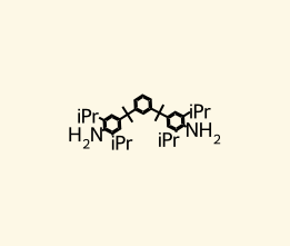 CC(C)c1cc(C(C)(C)c2cccc(C(C)(C)c3cc(C(C)C)c(N)c(C(C)C)c3)c2)cc(C(C)C)c1N